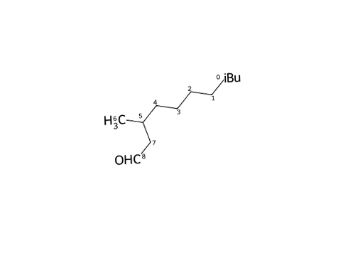 CCC(C)CCCCC(C)CC=O